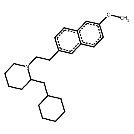 COc1ccc2cc(CCN3CCCCC3CC3CCCCC3)ccc2c1